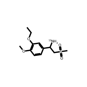 CCOc1cc(C([15NH2])CS(C)(=O)=O)ccc1OC